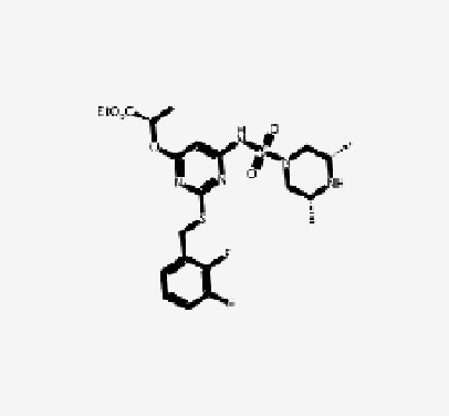 CCOC(=O)[C@@H](C)Oc1cc(NS(=O)(=O)N2C[C@@H](C)N[C@@H](C)C2)nc(SCc2cccc(F)c2F)n1